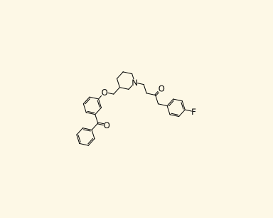 O=C(CCN1CCCC(COc2cccc(C(=O)c3ccccc3)c2)C1)Cc1ccc(F)cc1